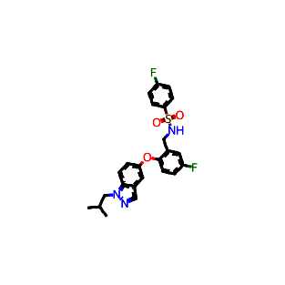 CC(C)Cn1ncc2cc(Oc3ccc(F)cc3CNS(=O)(=O)c3ccc(F)cc3)ccc21